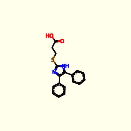 O=C(O)CCSc1nc(-c2ccccc2)c(-c2ccccc2)[nH]1